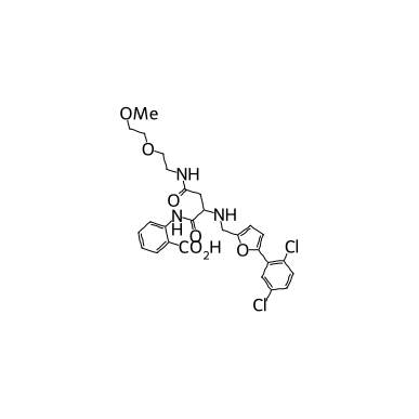 COCCOCCNC(=O)CC(NCc1ccc(-c2cc(Cl)ccc2Cl)o1)C(=O)Nc1ccccc1C(=O)O